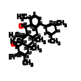 CC1=CC(c2ccc(C)c3c2CC2(C)CC4(C)CC(C)=C(C(C)C)C(=O)C4(C)C(C)=C2C3=O)=CC(C)C1